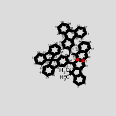 CC1(C)c2ccccc2-c2cccc(-c3cc4c(cc3N(c3ccc5c6ccccc6c6ccccc6c5c3)c3cccc5ccccc35)C3(c5ccccc5-c5ccccc53)c3ccccc3-4)c21